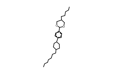 CCCCCCCC1CCC(c2ccc(C3OCC(CCCCC)CO3)cc2)CC1